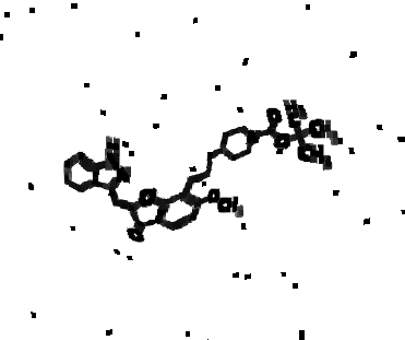 COc1ccc2c(c1C=CCC1CCN(C(=O)OC(C)(C)C)CC1)OC(=Cc1n[nH]c3ccccc13)C2=O